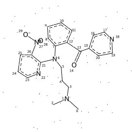 CN(C)CCCN(c1ccccc1C(=O)c1ccncc1)c1ncccc1[N+](=O)[O-]